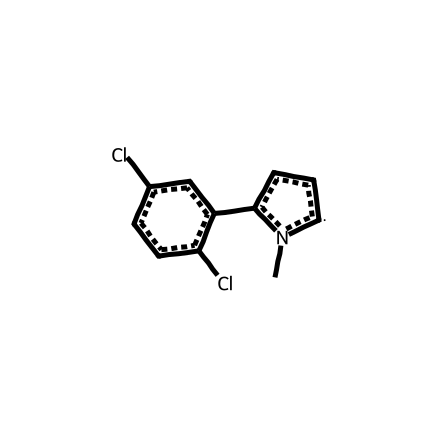 Cn1[c]ccc1-c1cc(Cl)ccc1Cl